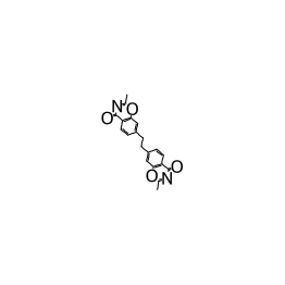 Cc1nc(=O)c2ccc(CCc3ccc4c(=O)nc(C)oc4c3)cc2o1